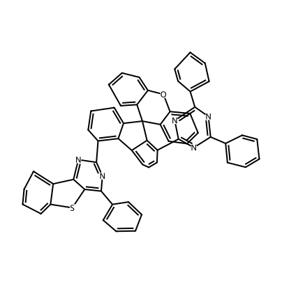 c1ccc(-c2nc(-c3ccccc3)nc(-c3cccc4c3C3(c5ccccc5Oc5ccccc53)c3cccc(-c5nc(-c6ccccc6)c6sc7ccccc7c6n5)c3-4)n2)cc1